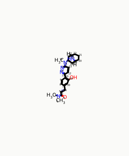 CN(C)C(=O)/C=C/c1ccc(-c2ccc(N(C)[C@@H]3C[C@H]4CCC[C@@H](C3)N4)nn2)c(O)c1